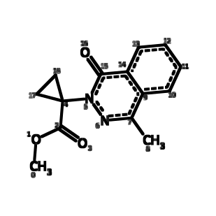 COC(=O)C1(n2nc(C)c3ccccc3c2=O)CC1